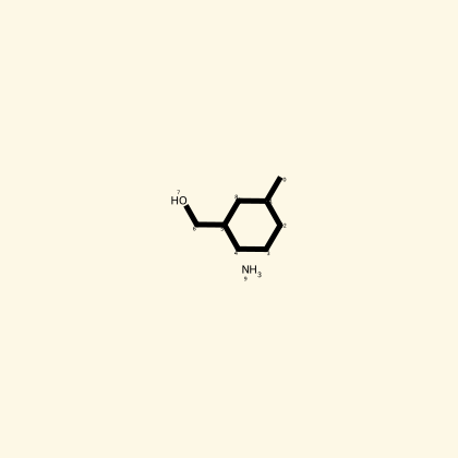 CC1CCCC(CO)C1.N